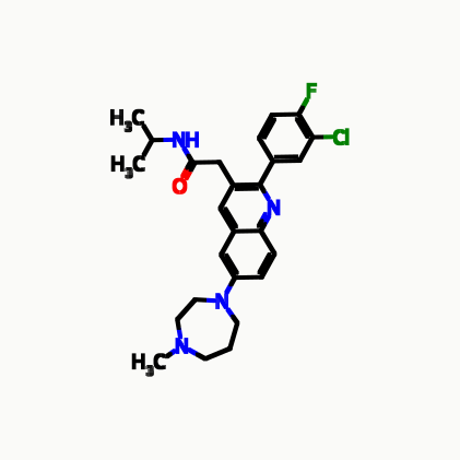 CC(C)NC(=O)Cc1cc2cc(N3CCCN(C)CC3)ccc2nc1-c1ccc(F)c(Cl)c1